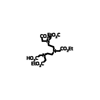 CCOC(=O)CN(CCN(CC(=O)O)CC(=O)OCC)CCN(CC(=O)O)CC(=O)OCC